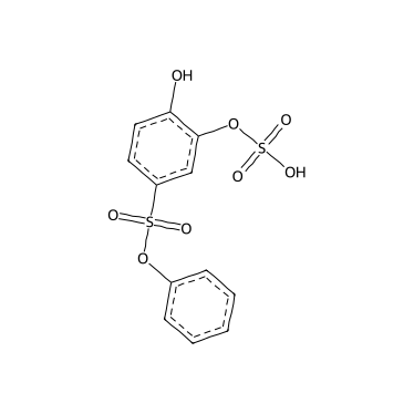 O=S(=O)(O)Oc1cc(S(=O)(=O)Oc2ccccc2)ccc1O